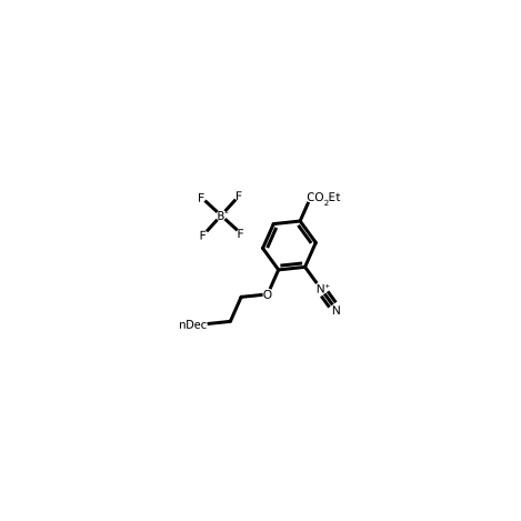 CCCCCCCCCCCCOc1ccc(C(=O)OCC)cc1[N+]#N.F[B-](F)(F)F